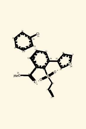 C=CCS(=O)(=O)c1c(C(=O)OC)cccc1-c1ccoc1.Clc1ccccc1